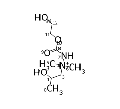 CC(O)C[N+](C)(C)NC(=O)OCCO